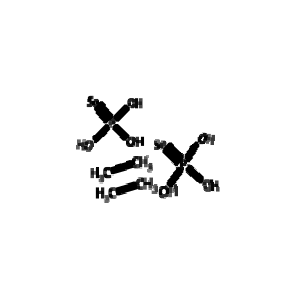 CC.CC.OP(O)(O)=[Se].OP(O)(O)=[Se]